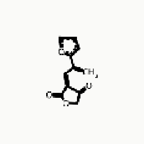 C=C(C=C1C(=O)COC1=O)c1ccco1